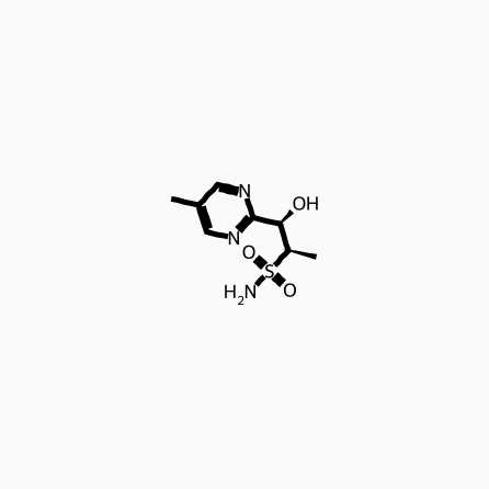 Cc1cnc([C@@H](O)[C@@H](C)S(N)(=O)=O)nc1